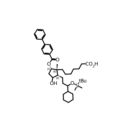 CC(C)(C)[Si](C)(C)OC(CC[C@H]1C(O)C[C@H](OC(=O)c2ccc(-c3ccccc3)cc2)[C@]1(C)CCCCCCC(=O)O)C1CCCCC1